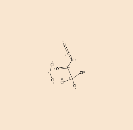 ClCCl.O=C=NC(=O)C(Cl)(Cl)Cl